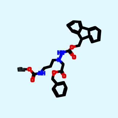 CC(C)(C)OC(=O)NCCCN(CC(=O)OCc1ccccc1)NC(=O)OCC1c2ccccc2-c2ccccc21